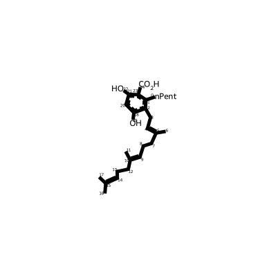 CCCCCc1c(C/C=C(\C)CC/C=C(\C)CCC=C(C)C)c(O)cc(O)c1C(=O)O